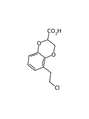 O=C(O)C1COc2c(CCCl)cccc2O1